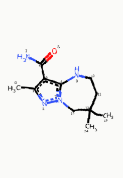 Cc1nn2c(c1C(N)=O)NCCC(C)(C)C2